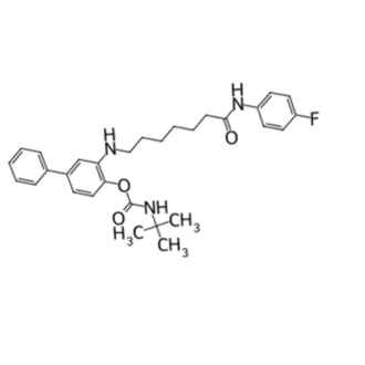 CC(C)(C)NC(=O)Oc1ccc(-c2ccccc2)cc1NCCCCCCC(=O)Nc1ccc(F)cc1